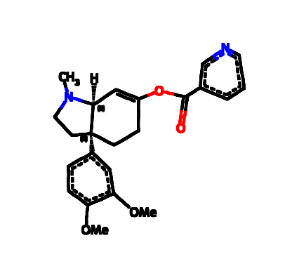 COc1ccc([C@@]23CCC(OC(=O)c4cccnc4)=C[C@@H]2N(C)CC3)cc1OC